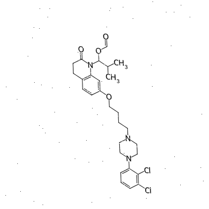 CC(C)C(OC=O)N1C(=O)CCc2ccc(OCCCCN3CCN(c4cccc(Cl)c4Cl)CC3)cc21